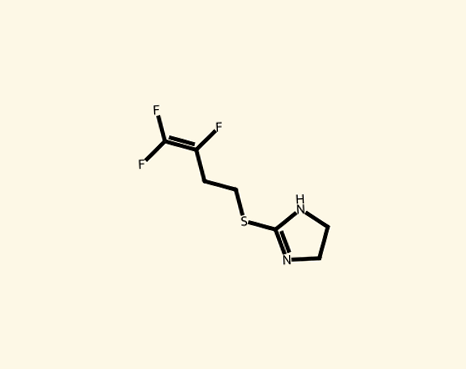 FC(F)=C(F)CCSC1=NCCN1